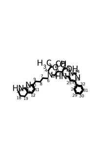 COC(C)CN(CCCCc1ccc2c(n1)NCCC2)CCC(Nc1cc(-c2ccccc2)ncn1)C(=O)O